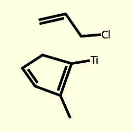 C=CCCl.CC1=[C]([Ti])CC=C1